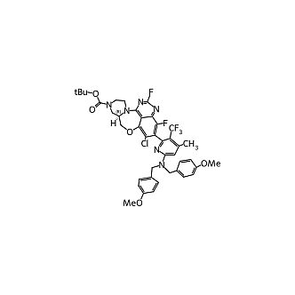 COc1ccc(CN(Cc2ccc(OC)cc2)c2cc(C)c(C(F)(F)F)c(-c3c(Cl)c4c5c(nc(F)nc5c3F)N3CCN(C(=O)OC(C)(C)C)C[C@@H]3CO4)n2)cc1